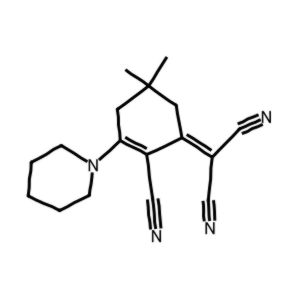 CC1(C)CC(=C(C#N)C#N)C(C#N)=C(N2CCCCC2)C1